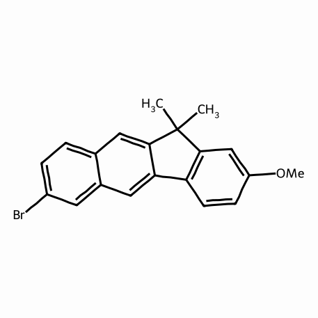 COc1ccc2c(c1)C(C)(C)c1cc3ccc(Br)cc3cc1-2